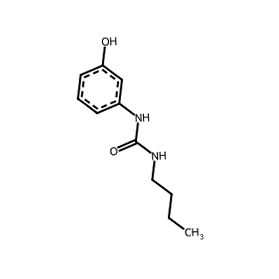 CCCCNC(=O)Nc1cccc(O)c1